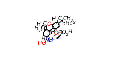 CCCCCCC(C)(C)c1cc(O)c2c(c1)OC(C)(C)[C@@H]1CCC(NO)C[C@@H]21.O=C(O)/C=C\C(=O)O